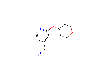 NCc1ccnc(OC2CCOCC2)c1